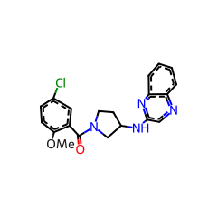 COc1ccc(Cl)cc1C(=O)N1CCC(Nc2cnc3ccccc3n2)C1